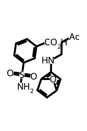 CC(=O)CCNc1cc2ccc1o2.NS(=O)(=O)c1cccc(C(=O)O)c1